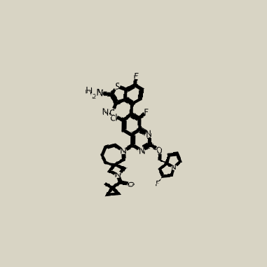 CC1(C(=O)N2CC3(CCCCN(c4nc(OC[C@@]56CCCN5C[C@H](F)C6)nc5c(F)c(-c6ccc(F)c7sc(N)c(C#N)c67)c(Cl)cc45)C3)C2)CC1